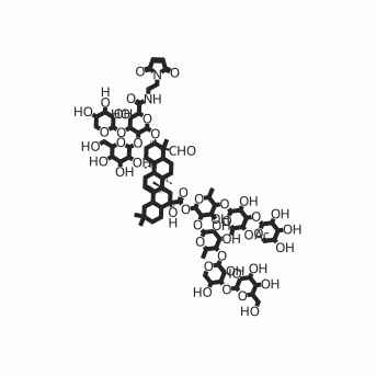 CC(=O)OC1C(C)OC(OC2C(C)OC(OC(=O)[C@@]3(O)C[C@]4(C)C(=CCC5[C@@]6(C)CC[C@H](OC7OC(C(=O)NCCN8C(=O)C=CC8=O)C(O)C(OC8OCC(O)C(O)C8O)C7OC7OC(CO)C(O)C(O)C7O)[C@@](C)(C=O)C6CC[C@]54C)C4CC(C)(C)CCC43)C(OC3OC(C)C(OC4OCC(O)C(OC5OC(CO)C(O)C(O)C5O)C4O)C(O)C3O)C2O)C(O)C1OC1OCC(O)C(O)C1O